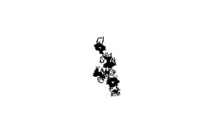 O=C(NCc1ccc(Cl)cc1)c1cnccc1CN1C(=O)N(c2ccc(SC(F)(F)F)cc2)C(=O)C12CC2